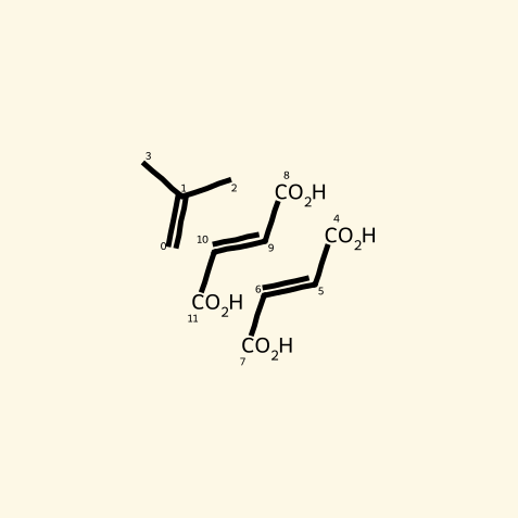 C=C(C)C.O=C(O)C=CC(=O)O.O=C(O)C=CC(=O)O